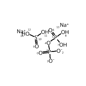 O=P([O-])([O-])OP(=O)(O)O.O=S(O)O.[Na+].[Na+]